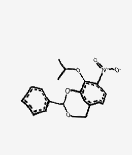 CC(C)Oc1c([N+](=O)[O-])ccc2c1OC(c1ccccc1)OC2